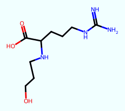 N=C(N)NCCCC(NCCCO)C(=O)O